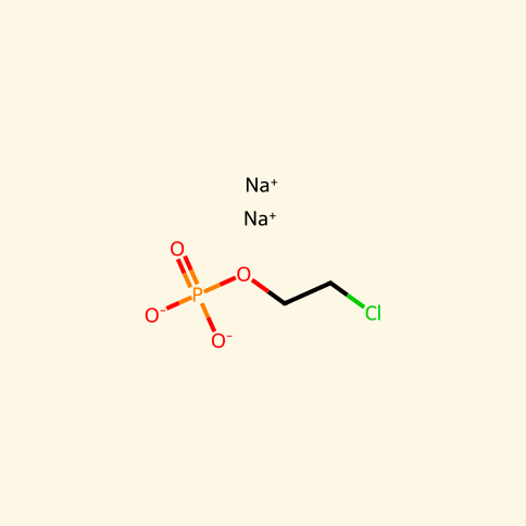 O=P([O-])([O-])OCCCl.[Na+].[Na+]